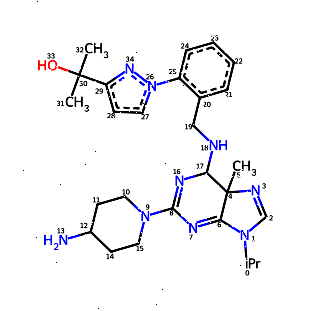 CC(C)N1C=NC2(C)C1=NC(N1CCC(N)CC1)=NC2NCc1ccccc1-n1ccc(C(C)(C)O)n1